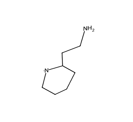 NCCC1CCCC[N]1